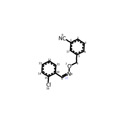 N#Cc1cccc(CO/N=[C]\c2ccccc2Cl)c1